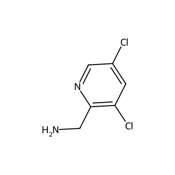 NCc1ncc(Cl)cc1Cl